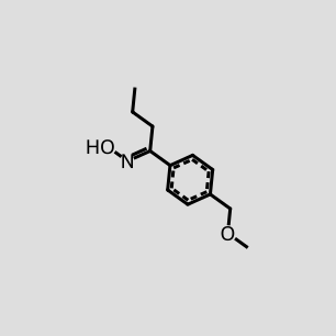 CCCC(=NO)c1ccc(COC)cc1